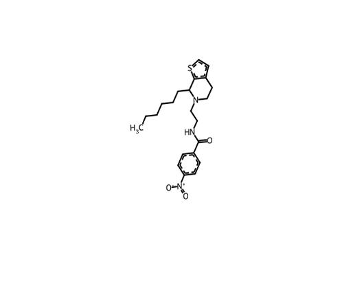 CCCCCCC1c2sccc2CCN1CCNC(=O)c1ccc([N+](=O)[O-])cc1